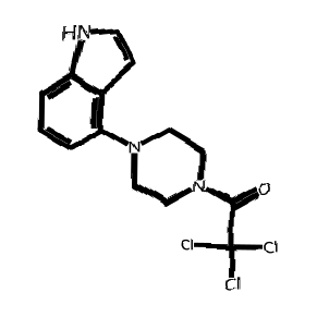 O=C(N1CCN(c2cccc3[nH]ccc23)CC1)C(Cl)(Cl)Cl